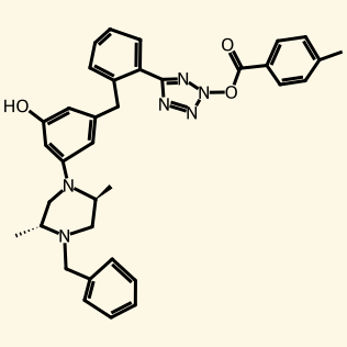 Cc1ccc(C(=O)On2nnc(-c3ccccc3Cc3cc(O)cc(N4C[C@@H](C)N(Cc5ccccc5)C[C@@H]4C)c3)n2)cc1